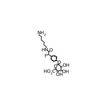 NCCCCCCNC(=O)C(F)c1ccc(O[C@H]2O[C@H](C(=O)O)[C@@H](O)[C@H](O)[C@H]2O)cc1